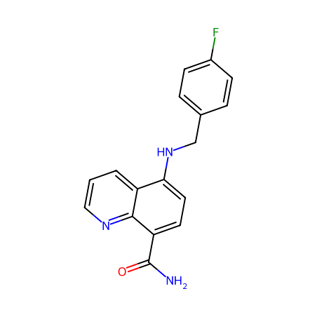 NC(=O)c1ccc(NCc2ccc(F)cc2)c2cccnc12